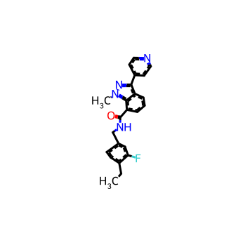 CCc1ccc(CNC(=O)c2cccc3c(-c4ccncc4)nn(C)c23)cc1F